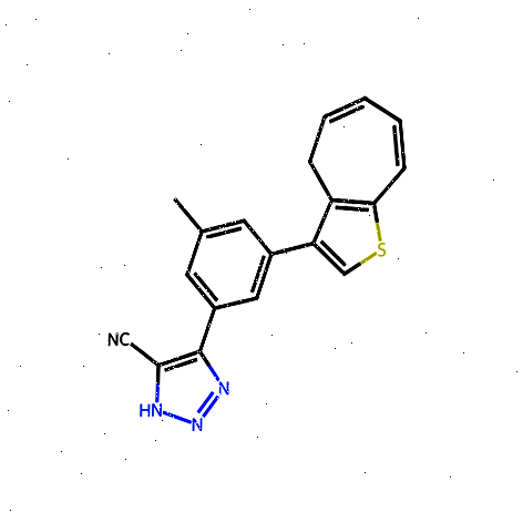 Cc1cc(-c2csc3c2CC=CC=C3)cc(-c2nn[nH]c2C#N)c1